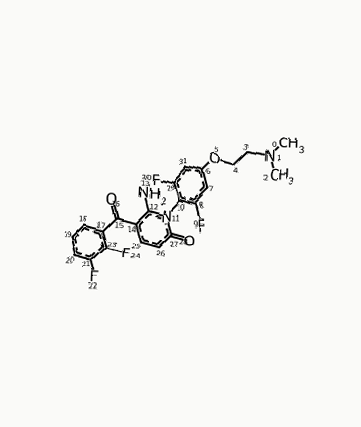 CN(C)CCOc1cc(F)c(-n2c(N)c(C(=O)c3cccc(F)c3F)ccc2=O)c(F)c1